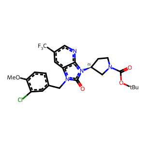 COc1ccc(Cn2c(=O)n([C@H]3CCN(C(=O)OC(C)(C)C)C3)c3ncc(C(F)(F)F)cc32)cc1Cl